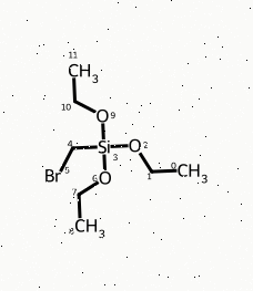 CCO[Si](CBr)(OCC)OCC